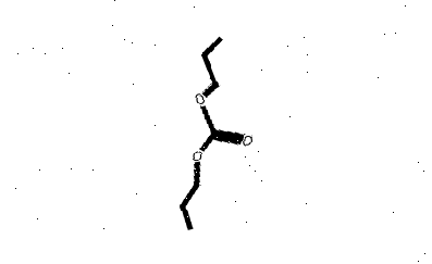 CC[CH]OC(=O)OCCC